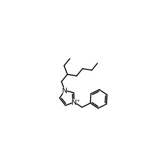 CCCCC(CC)Cn1cc[n+](Cc2ccccc2)c1